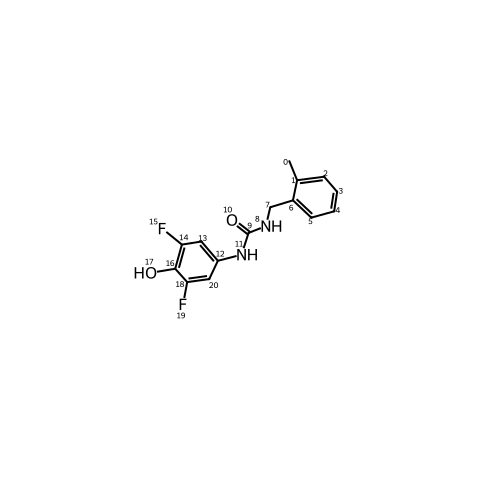 Cc1ccccc1CNC(=O)Nc1cc(F)c(O)c(F)c1